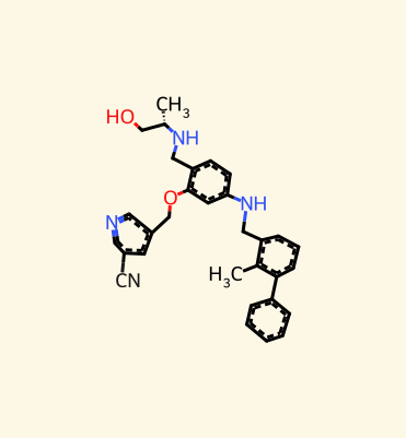 Cc1c(CNc2ccc(CN[C@@H](C)CO)c(OCc3cncc(C#N)c3)c2)cccc1-c1ccccc1